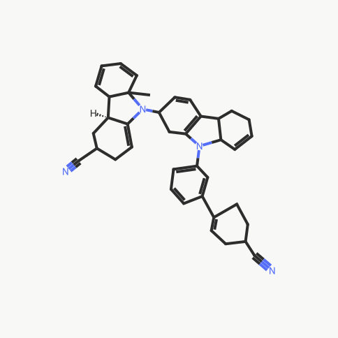 CC12C=CC=CC1[C@@H]1CC(C#N)CC=C1N2C1C=CC2=C(C1)N(c1cccc(C3=CCC(C#N)CC3)c1)C1C=CCCC21